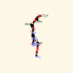 COc1cc2c(cc1OCCCOc1cc3cc(C(=O)CCC(=O)O)sc3cc1OC)CN(C(=O)CCC(=O)NCc1ccc(NC(=O)[C@H](CCCNC(N)=O)NCOCC[C@@H](NC(=O)CCOCCOCCOCCN)C(C)C)cc1)C2